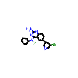 Nc1nc(N(Br)c2ccccc2)c2cc(-c3cncc(Br)c3)ccc2n1